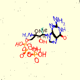 CO[C@](N)(COP(=O)(O)OP(=O)(O)OP(=O)(O)O)[C@@H](O)[C@@H](F)n1cnc2c(=O)[nH]c(N)nc21